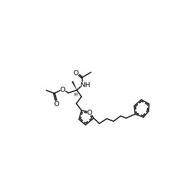 CC(=O)N[C@](C)(CCc1ccc(CCCCCc2ccccc2)o1)COC(C)=O